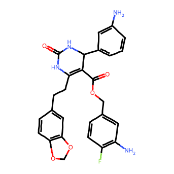 Nc1cccc(C2NC(=O)NC(CCc3ccc4c(c3)OCO4)=C2C(=O)OCc2ccc(F)c(N)c2)c1